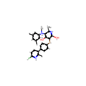 CCCCc1nc(O)c(Sc2ccc(-c3ccc(F)nc3C)cc2)c(O)c1N(CC)c1cc(C)cc(C)c1